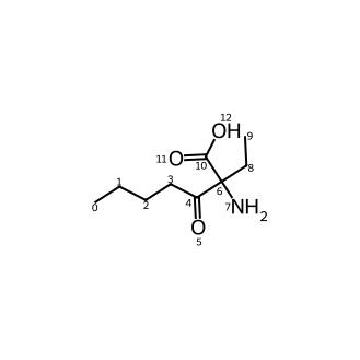 CCCCC(=O)C(N)(CC)C(=O)O